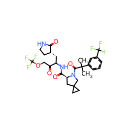 CC(C)(C(=O)N1CC2(CC2)C[C@H]1C(=O)NC(C[C@@H]1CCNC1=O)C(=O)COC(F)(F)F)c1cccc(C(F)(F)F)c1